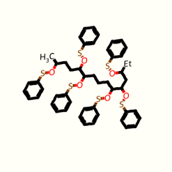 CCC(CC(OSc1ccccc1)C(CCCC(OSc1ccccc1)C(CCC(C)OSc1ccccc1)OSc1ccccc1)OSc1ccccc1)OSc1ccccc1